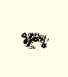 CC(C)(C)C(=O)CN1C(=O)[C@H](N(C(N)=O)c2cccc(OC(C)(C)C(=O)OCc3ccccc3)c2)CN(C2CCCCC2)c2ccccc21